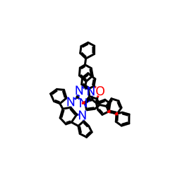 c1ccc(-c2ccc(-c3nc(-c4ccc(-c5ccccc5)cc4)nc(-n4c5ccccc5c5ccc6c7ccccc7n(-c7cc(-c8ccccc8)c8oc9ccccc9c8c7)c6c54)n3)cc2)cc1